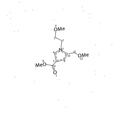 COCCn1cc(C(=O)OC)cc1COC